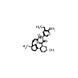 C=N/C=C\c1cc([C@@H]2CC[C@@H](C)CN2C(=O)C(=O)Nc2cnc(N)c(CC)c2)ccc1C